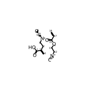 C=C(CCN=C=O)C(=O)O.[C-]#[N+]CCOC(=O)C=C